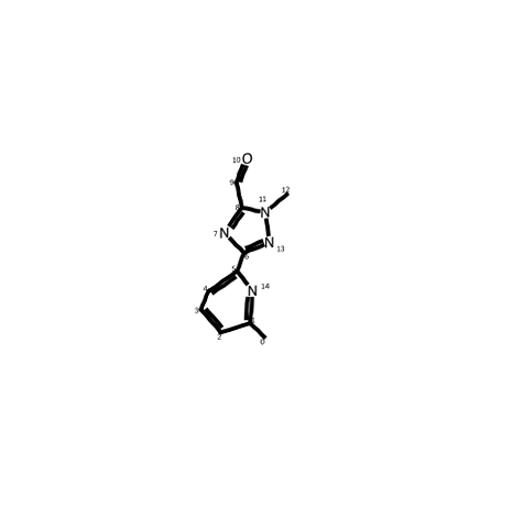 Cc1cccc(-c2nc(C=O)n(C)n2)n1